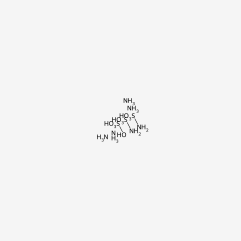 N.N.N.N.NS(=O)(=O)O.NS(=O)(=O)O.O=S(=O)(O)O